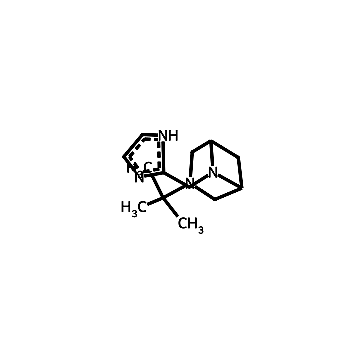 CC(C)(C)N1CC2CC(C1)N2Cc1ncc[nH]1